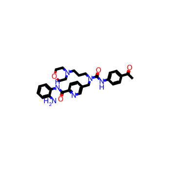 CC(=O)c1ccc(NC(=O)N(CCCN2CCOCC2)Cc2ccc(C(=O)Nc3ccccc3N)nc2)cc1